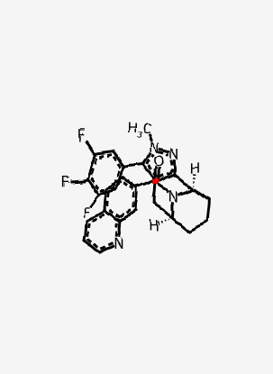 Cn1nc2c(c1-c1cc(F)c(F)c(F)c1)C[C@@H]1CCC[C@H]2N1C(=O)c1ccc2cccnc2c1